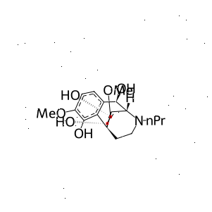 CCCN1CC[C@@]23C[C@H](O)[C@H](O)C(OC)=C2[C@@H]1[C@H](O)c1ccc(OC)c(O)c13